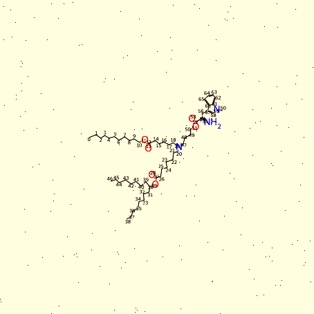 CCCCCCCCCCCOC(=O)CCCCCN(CCCCCCCC(=O)OC(CCCCCCCC)CCCCCCCC)CCCCOC(=O)[C@H](N)Cc1cn(C)c2ccccc12